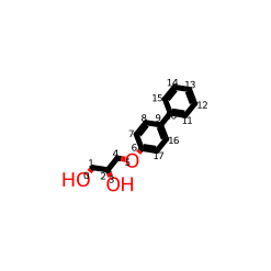 OCC(O)COc1ccc(-c2ccccc2)cc1